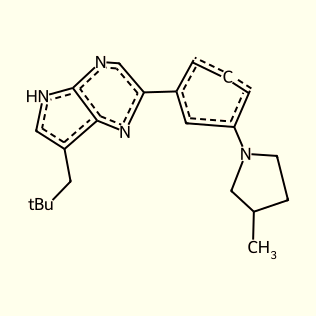 CC1CCN(c2cccc(-c3cnc4[nH]cc(CC(C)(C)C)c4n3)c2)C1